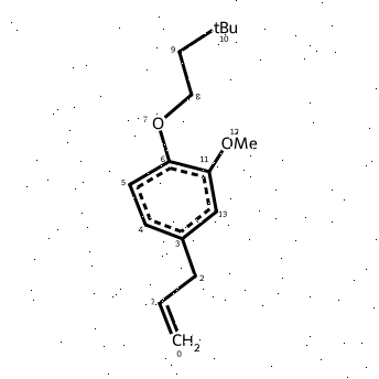 C=CCc1ccc(OCCC(C)(C)C)c(OC)c1